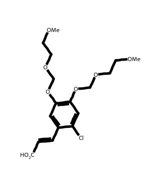 COCCOCOc1cc(Cl)c(/C=C/C(=O)O)cc1OCOCCOC